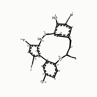 CC1Cc2cc(Br)c(O)c(c2)SNc2cc(c(F)cc2F)-c2cc(Cl)ccc2O1